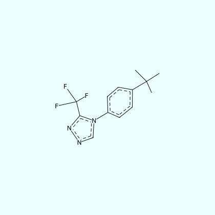 CC(C)(C)c1ccc(-n2cnnc2C(F)(F)F)cc1